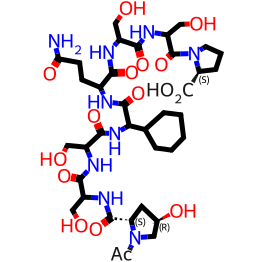 CC(=O)N1C[C@H](O)C[C@H]1C(=O)NC(CO)C(=O)NC(CO)C(=O)NC(C(=O)NC(CCC(N)=O)C(=O)NC(CO)C(=O)NC(CO)C(=O)N1CCC[C@H]1C(=O)O)C1CCCCC1